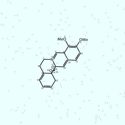 COC1=C(OC)C2C=[N+]3CCC4=CC=CCC45OCOC35C=C2C=C1